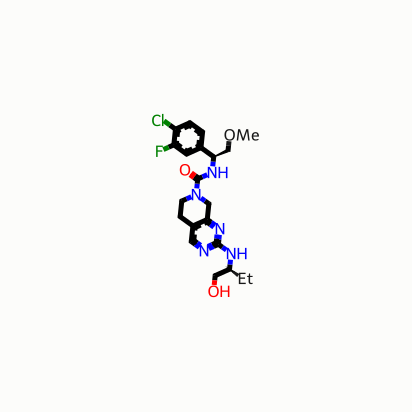 CC[C@@H](CO)Nc1ncc2c(n1)CN(C(=O)N[C@H](COC)c1ccc(Cl)c(F)c1)CC2